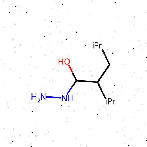 CC(C)CC(C(C)C)C(O)NN